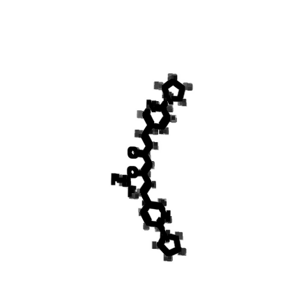 O=C(/C=C(/C=C/c1ccc(N2CCCC2)nc1)OB(F)F)/C=C/c1ccc(N2CCCC2)nc1